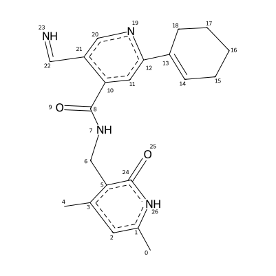 Cc1cc(C)c(CNC(=O)c2cc(C3=CCCCC3)ncc2C=N)c(=O)[nH]1